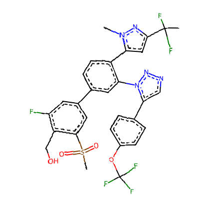 Cn1nc(C(C)(F)F)cc1-c1ccc(-c2cc(F)c(CO)c(S(C)(=O)=O)c2)cc1-n1nncc1-c1ccc(OC(F)(F)F)cc1